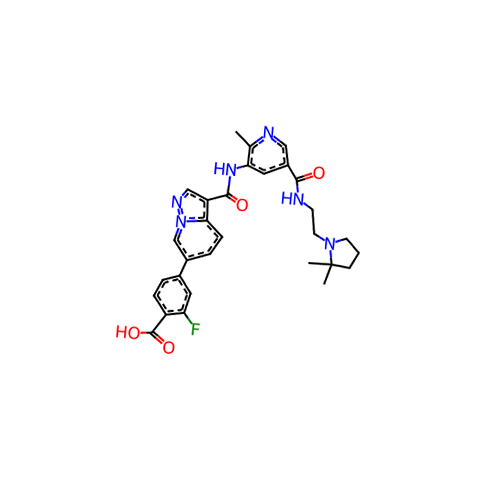 Cc1ncc(C(=O)NCCN2CCCC2(C)C)cc1NC(=O)c1cnn2cc(-c3ccc(C(=O)O)c(F)c3)ccc12